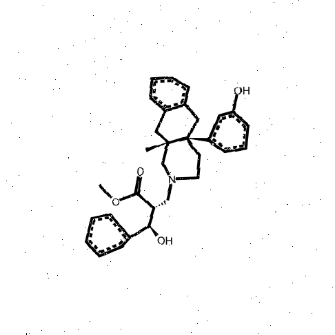 COC(=O)[C@H](CN1CC[C@@]2(c3cccc(O)c3)Cc3ccccc3C[C@@]2(C)C1)[C@@H](O)c1ccccc1